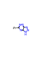 CC(C)c1nnc2nn[nH]c2n1